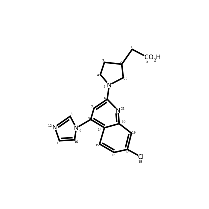 O=C(O)CC1CCN(c2cc(-n3ccnc3)c3ccc(Cl)cc3n2)C1